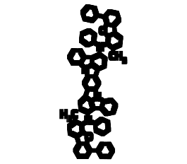 Cc1ccc2c(oc3c(-c4ccccc4)cccc32)c1N(c1ccccc1)c1ccc2c3cc4c(cc3n3c5ccccc5c1c23)c1ccc(N(c2ccccc2)c2c(C)ccc3c2oc2c(-c5ccccc5)cccc23)c2c3ccccc3n4c12